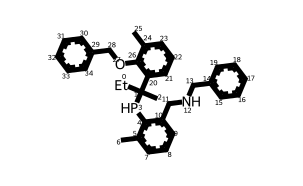 CCC(C)(Pc1c(C)cccc1CNCc1ccccc1)c1cccc(C)c1OCc1ccccc1